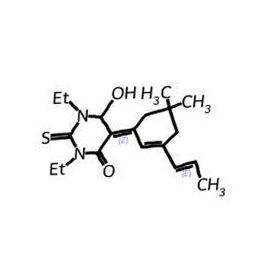 C/C=C/C1=CC(=C2\C(=O)N(CC)C(=S)N(CC)C2O)/CC(C)(C)C1